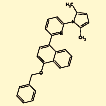 Cc1ccc(C)n1-c1cccc(-c2ccc(OCc3ccccc3)c3ccccc23)n1